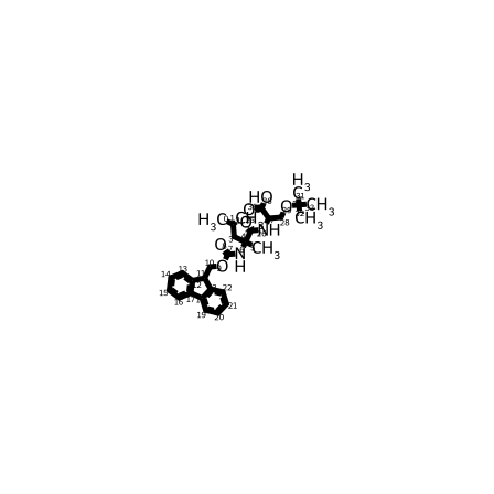 CC(C)CC(C)(NC(=O)OCC1c2ccccc2-c2ccccc21)C(=O)NC(COC(C)(C)C)C(=O)O